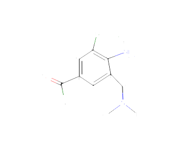 CCN(CC)Cc1cc(C(=O)Cl)cc(Br)c1N.Cl